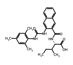 CCC(C)[C@H](NC(=O)c1cc2ccccc2cc1NC(=O)Nc1c(C)cc(C)cc1C)C(=O)O